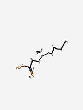 C=C.CCCCCCCC(=S)S